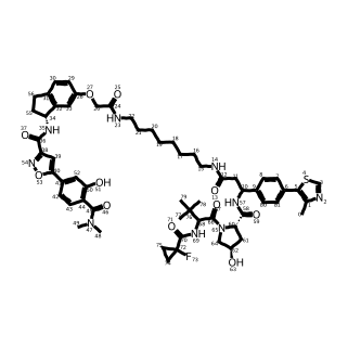 Cc1ncsc1-c1ccc(C(CC(=O)NCCCCCCCCNC(=O)COc2ccc3c(c2)[C@H](NC(=O)c2cc(-c4ccc(C(=O)N(C)C)c(O)c4)on2)CC3)NC(=O)[C@@H]2C[C@@H](O)CN2C(=O)C(NC(=O)C2(F)CC2)C(C)(C)C)cc1